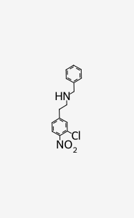 O=[N+]([O-])c1ccc(CCNCc2ccccc2)cc1Cl